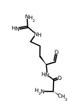 C[C@H](N)C(=O)N[C@H](C=O)CCCNC(=N)N